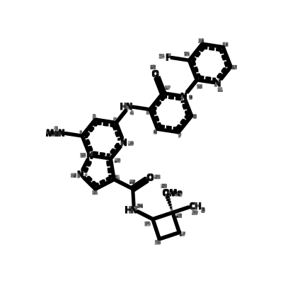 CNc1cc(Nc2cccn(-c3ncccc3F)c2=O)nc2c(C(=O)NC3CC[C@@]3(C)OC)cnn12